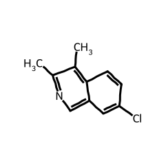 Cc1ncc2cc(Cl)ccc2c1C